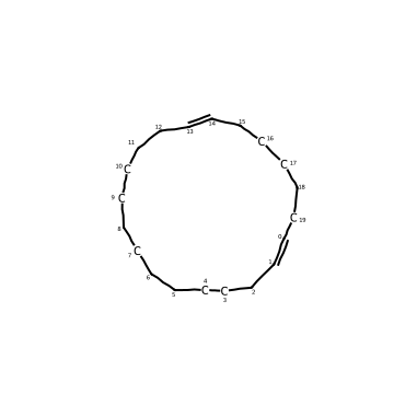 C1=CCCCCCCCCCCCC=CCCCCC1